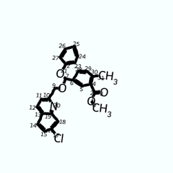 COC(=O)c1cc(C(OCc2ccc3ccc(Cl)cc3n2)Oc2ccccc2)ccc1C